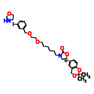 C1COCN1.CC1(C)OCc2cc([C@@H]3CN(CCCCCCOCCOCc4cccc(I)c4)C(=O)O3)ccc2O1